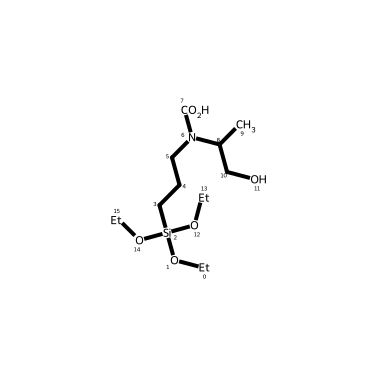 CCO[Si](CCCN(C(=O)O)C(C)CO)(OCC)OCC